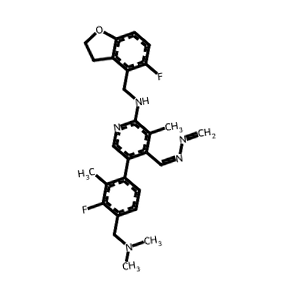 C=N/N=C\c1c(-c2ccc(CN(C)C)c(F)c2C)cnc(NCc2c(F)ccc3c2CCO3)c1C